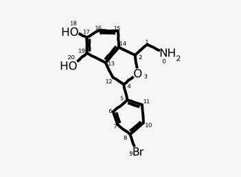 NCC1OC(c2ccc(Br)cc2)Cc2c1ccc(O)c2O